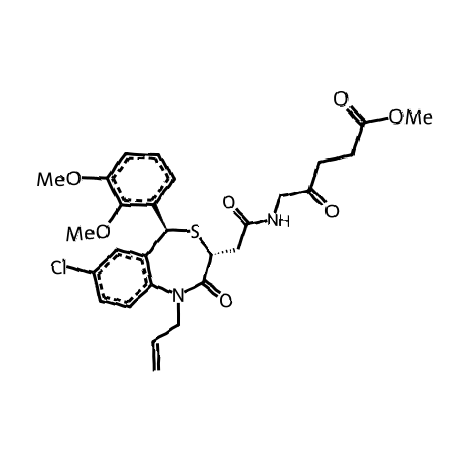 C=CCN1C(=O)[C@@H](CC(=O)NCC(=O)CCC(=O)OC)S[C@H](c2cccc(OC)c2OC)c2cc(Cl)ccc21